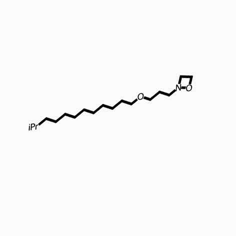 CC(C)CCCCCCCCCCOCCCN1CCO1